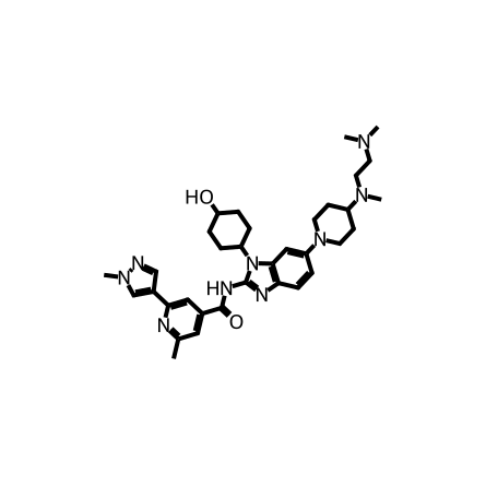 Cc1cc(C(=O)Nc2nc3ccc(N4CCC(N(C)CCN(C)C)CC4)cc3n2C2CCC(O)CC2)cc(-c2cnn(C)c2)n1